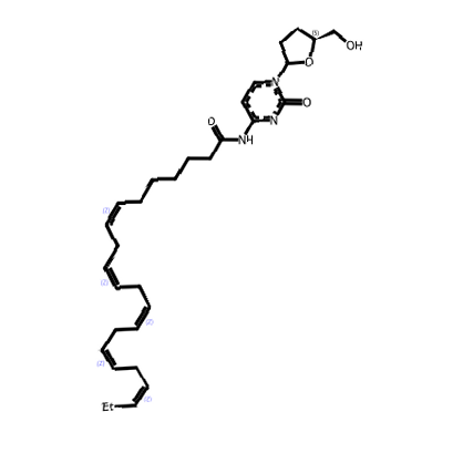 CC/C=C\C/C=C\C/C=C\C/C=C\C/C=C\CCCCCC(=O)Nc1ccn(C2CC[C@@H](CO)O2)c(=O)n1